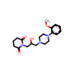 COc1ccccc1N1CCN(CC(O)CN2C(=O)CCCC2=O)CC1